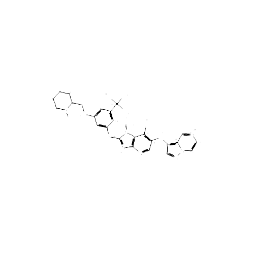 CN1CCCCC1COc1cc(Nc2nc3ncc(Oc4cnn5ccncc45)c(Cl)c3n2C)cc(C(F)(F)F)c1